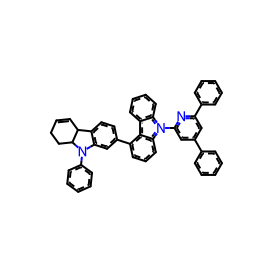 C1=CC2c3ccc(-c4cccc5c4c4ccccc4n5-c4cc(-c5ccccc5)cc(-c5ccccc5)n4)cc3N(c3ccccc3)C2CC1